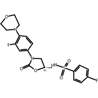 O=C1O[C@@H](CNS(=O)(=O)c2ccc(F)cc2)CN1c1ccc(N2CCOCC2)c(F)c1